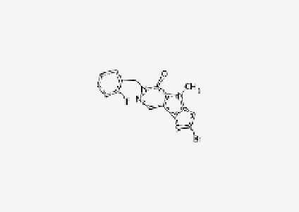 Cn1c2cc(Br)sc2c2cnn(Cc3ccccc3F)c(=O)c21